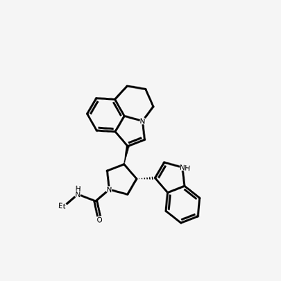 CCNC(=O)N1C[C@@H](c2c[nH]c3ccccc23)[C@H](c2cn3c4c(cccc24)CCC3)C1